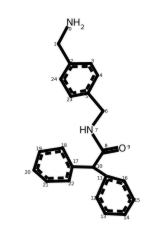 NCc1ccc(CNC(=O)C(c2ccccc2)c2ccccc2)cc1